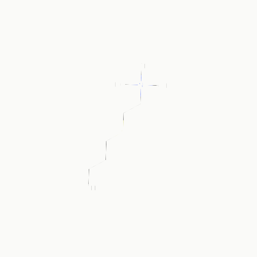 CCCCSCC[N+](C)(C)C